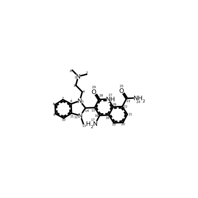 CN(C)CCN1c2ccccc2N(C)C1c1c(N)c2cccc(C(N)=O)c2[nH]c1=O